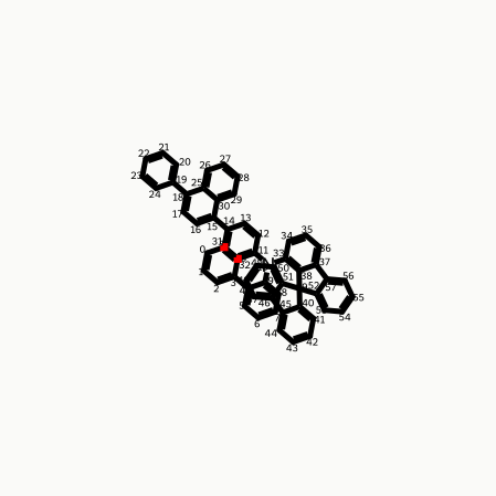 c1ccc(-c2ccccc2N(c2ccc(-c3ccc(-c4ccccc4)c4ccccc34)cc2)c2cccc3c2C2(c4ccccc4-c4ccccc42)c2ccccc2-3)cc1